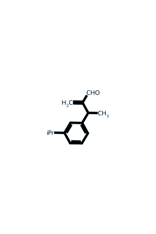 C=C(C=O)C(C)c1cccc(C(C)C)c1